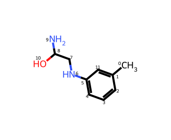 Cc1cccc(NCC(N)O)c1